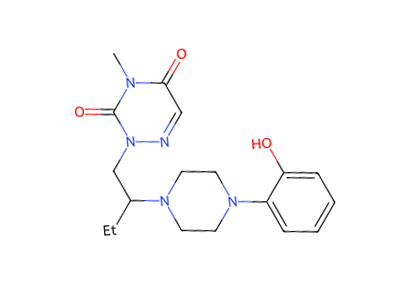 CCC(Cn1ncc(=O)n(C)c1=O)N1CCN(c2ccccc2O)CC1